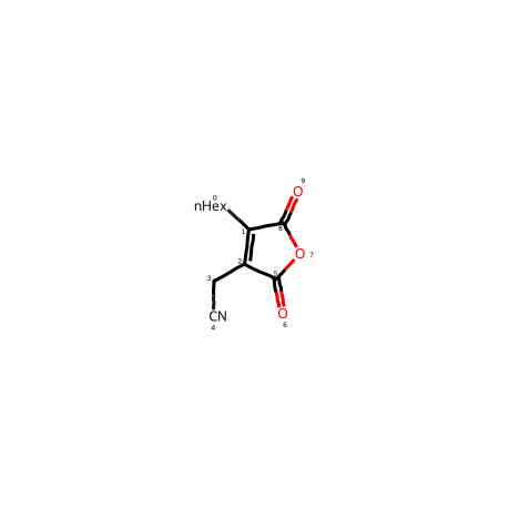 CCCCCCC1=C(CC#N)C(=O)OC1=O